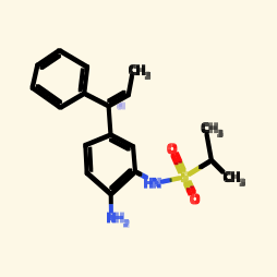 C/C=C(\c1ccccc1)c1ccc(N)c(NS(=O)(=O)C(C)C)c1